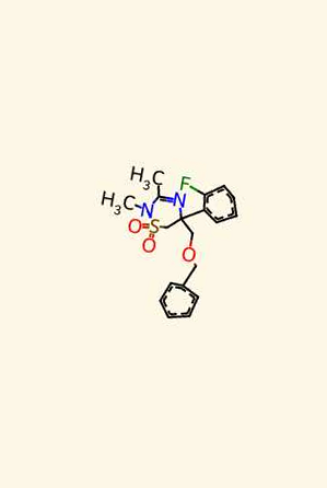 CC1=NC(COCc2ccccc2)(c2ccccc2F)CS(=O)(=O)N1C